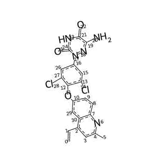 C=Cc1cc(C)nc2ccc(Oc3c(Cl)cc(-n4nc(N)c(=O)[nH]c4=O)cc3Cl)cc12